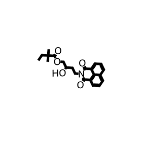 CCC(C)(C)C(=O)OCC(O)CCN1C(=O)c2cccc3cccc(c23)C1=O